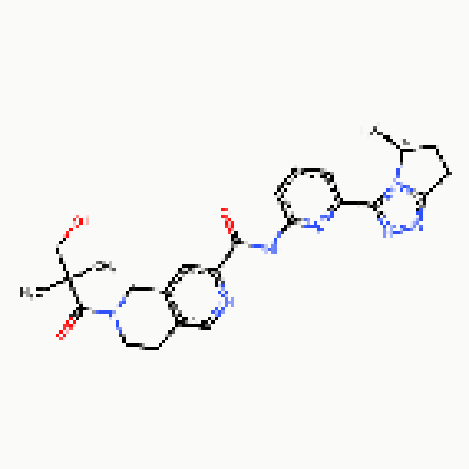 C[C@H]1CCc2nnc(-c3cccc(NC(=O)c4cc5c(cn4)CCN(C(=O)C(C)(C)CO)C5)n3)n21